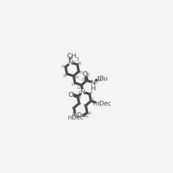 CCCCCCCCCCCCC(=O)N(CC(CCCCCCCCCC)CCCCCCCCCCCC)C(CC1CCN(C)CC1)C(=O)NC(C)(C)C